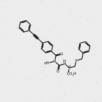 CCCN(C(=O)N[C@@H](CSCc1ccccc1)C(=O)O)C(=O)c1ccc(C#Cc2ccccc2)cc1